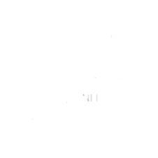 CCC1=CC(CC)Nc2ccccc21